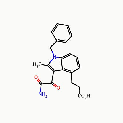 Cc1c(C(=O)C(N)=O)c2c(CCC(=O)O)cccc2n1Cc1ccccc1